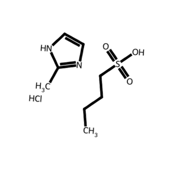 CCCCS(=O)(=O)O.Cc1ncc[nH]1.Cl